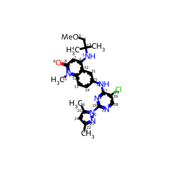 COCC(C)(C)Nc1cc(=O)n(C)c2ccc(Nc3nc(-n4nc(C)cc4C)ncc3Cl)cc12